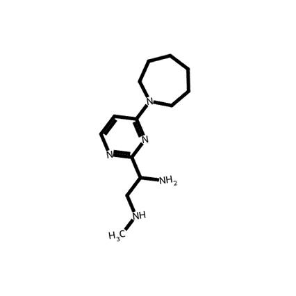 CNCC(N)c1nccc(N2CCCCCC2)n1